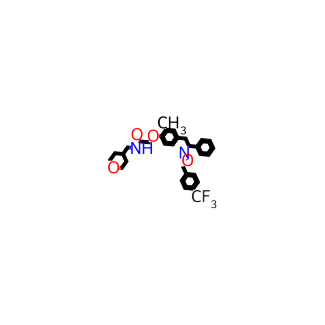 Cc1cc(CC(=NOCc2ccc(C(F)(F)F)cc2)c2ccccc2)ccc1OCC(=O)NCC1CCOCC1